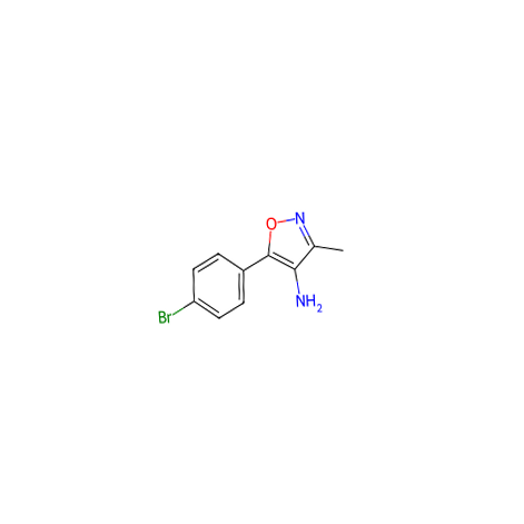 Cc1noc(-c2ccc(Br)cc2)c1N